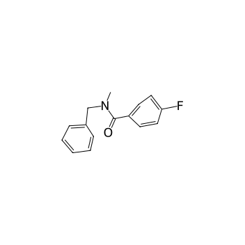 CN(Cc1ccccc1)C(=O)c1ccc(F)cc1